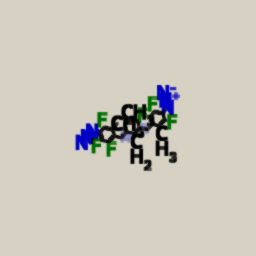 C=C1/C(=C/c2c(C)c(F)c(N=[N+]=[N-])c(F)c2F)CC(C)C/C1=C\c1c(C)c(F)c(N=[N+]=[N-])c(F)c1F